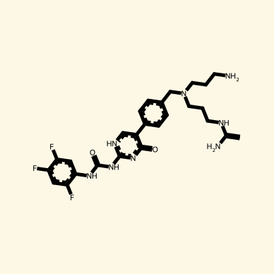 C=C(N)NCCCN(CCCN)Cc1ccc(-c2c[nH]c(NC(=O)Nc3cc(F)c(F)cc3F)nc2=O)cc1